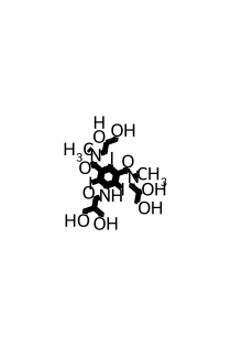 CN(CC(O)CO)C(=O)c1c(I)c(NC(=O)C(CO)CO)c(I)c(C(=O)N(C)CC(O)CO)c1I